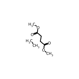 CC.COC(=O)CCC(=O)OC